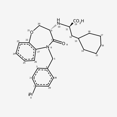 CC(C)c1ccc(CN2C(=O)[C@@H](N[C@H](CC3CCCCC3)C(=O)O)COc3ccccc32)cc1